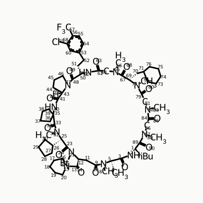 CC[C@H](C)[C@@H]1NC(=O)[C@H](C)N(C)C(=O)C[C@@H](C(=O)N2CCCCC2)N(CC)C(=O)[C@H](C2CCCC2)N(C)C(=O)C2(CCCC2)NC(=O)[C@@H]2CCCN2C(=O)[C@H](CCc2ccc(C(F)(F)F)c(Cl)c2)NC(=O)CN(C)C(=O)[C@H](CC2CCCCC2)N(C)C(=O)CN(C)C(=O)CN(C)C1=O